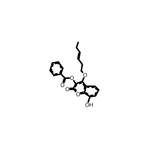 CCC=CCCOc1c(OC(=O)c2ccccc2)c(=O)oc2c(O)cccc12